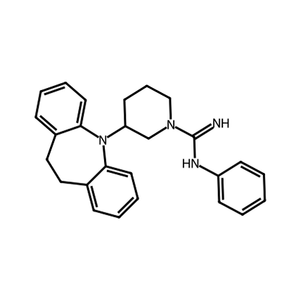 N=C(Nc1ccccc1)N1CCCC(N2c3ccccc3CCc3ccccc32)C1